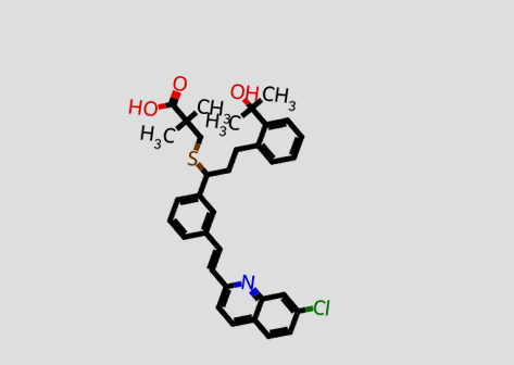 CC(C)(CSC(CCc1ccccc1C(C)(C)O)c1cccc(C=Cc2ccc3ccc(Cl)cc3n2)c1)C(=O)O